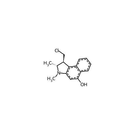 C[C@@H]1[C@@H](CCl)c2c(cc(O)c3ccccc23)N1C